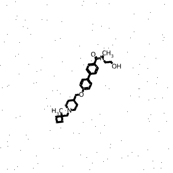 CN(CCO)C(=O)c1ccc(-c2ccc(OCC3CCN(CC4(C)CCC4)CC3)cc2)cc1